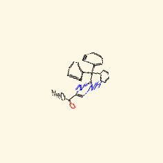 COC(=O)c1c[nH]c(C(c2ccccc2)(c2ccccc2)c2ccccc2)n1